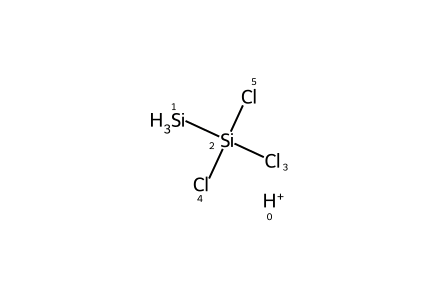 [H+].[SiH3][Si](Cl)(Cl)Cl